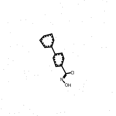 ON=C(Cl)c1ccc(-c2ccccc2)cc1